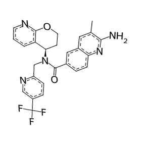 Cc1cc2cc(C(=O)N(Cc3ccc(C(F)(F)F)cn3)[C@@H]3CCOc4ncccc43)ccc2nc1N